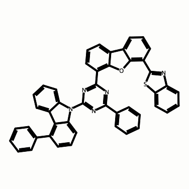 c1ccc(-c2nc(-c3cccc4c3oc3c(-c5nc6ccccc6s5)cccc34)nc(-n3c4ccccc4c4c(-c5ccccc5)cccc43)n2)cc1